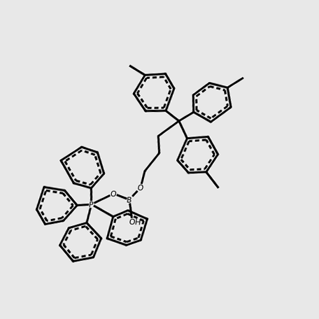 Cc1ccc(C(CCCOB(O)OP(c2ccccc2)(c2ccccc2)(c2ccccc2)c2ccccc2)(c2ccc(C)cc2)c2ccc(C)cc2)cc1